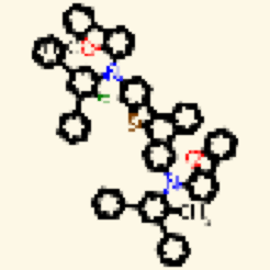 Cc1c(-c2ccccc2)cc(-c2ccccc2)cc1N(c1ccc2c(c1)c1ccccc1c1c3ccc(N(c4cc(-c5ccccc5)cc(-c5ccccc5)c4F)c4cccc5c4OC4(C)C=CC=CC54)cc3sc21)c1cccc2c1oc1ccccc12